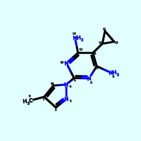 Cc1cnn(-c2nc(N)c(C3CC3)c(N)n2)c1